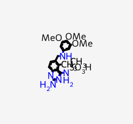 COc1cc(NCc2ccc3nc(N)nc(N)c3c2C)cc(OC)c1OC.CS(=O)(=O)O